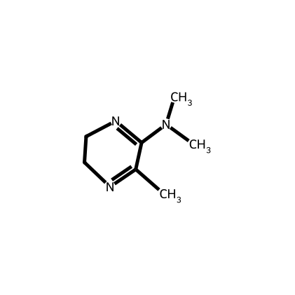 CC1=NCCN=C1N(C)C